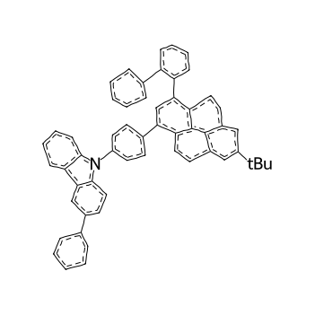 CC(C)(C)c1cc2ccc3c(-c4ccc(-n5c6ccccc6c6cc(-c7ccccc7)ccc65)cc4)cc(-c4ccccc4-c4ccccc4)c4ccc(c1)c2c34